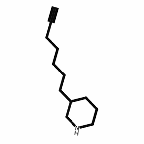 C#CCCCCCC1CCCNC1